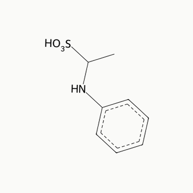 CC(Nc1ccccc1)S(=O)(=O)O